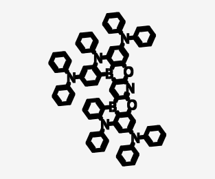 c1ccc(N(c2ccccc2)c2ccc3c(c2)N(c2ccccc2)c2cc(N(c4ccccc4)c4ccccc4)cc4c2B3c2cc3c(nc2O4)Oc2cc(N(c4ccccc4)c4ccccc4)cc4c2B3c2ccccc2N4c2ccccc2)cc1